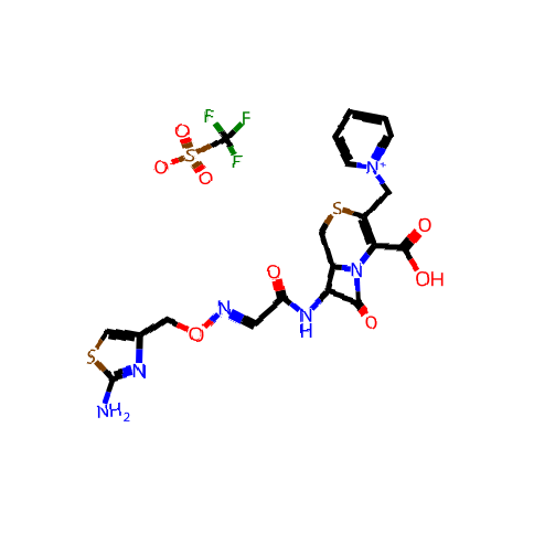 Nc1nc(CON=CC(=O)NC2C(=O)N3C(C(=O)O)=C(C[n+]4ccccc4)SCC23)cs1.O=S(=O)([O-])C(F)(F)F